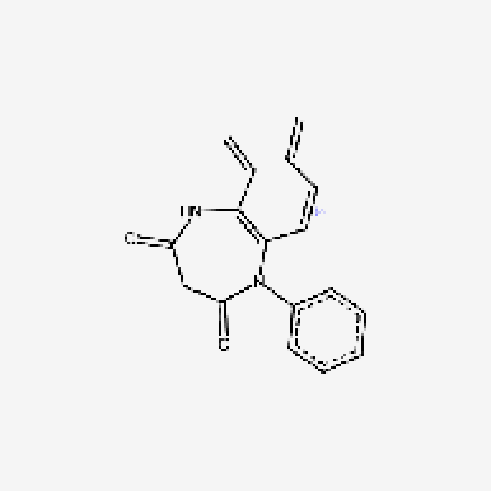 C=C/C=C\C1=C(C=C)NC(=O)CC(=O)N1c1ccccc1